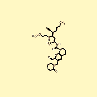 CC/C=C/C(C#N)=C(\C=C(/C)NC(=O)N1CCCc2cc(CN3CCSCC3=O)c(C=O)nc21)NCCOC